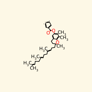 CC(C)=CCC/C(C)=C/CC/C(C)=C/CC[C@]1(C)CCc2cc(OC(=O)c3c[c][c][c]c3)c(C)c(C)c2O1